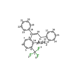 FC(F)(F)c1cccc(/C(=C\Cc2ccccc2)c2ccccc2)c1[AsH2]